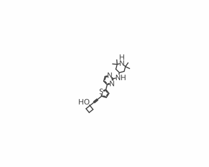 CC1(C)CC(Nc2nccc(-c3ccc(C#CC4(O)CCC4)s3)n2)CC(C)(C)N1